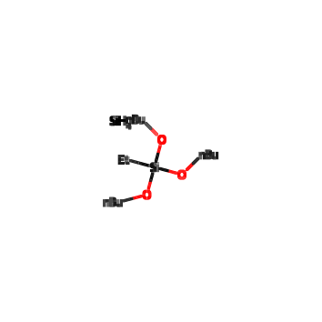 CCCCO[Si](CC)(OCCCC)OCCCC.[SiH4]